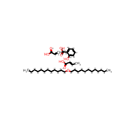 C/C=C/C(=O)O.C=CC(=O)O.CCCCCCCCCCCCOCCCCCCCCCCCC.O=C(O)c1ccccc1O